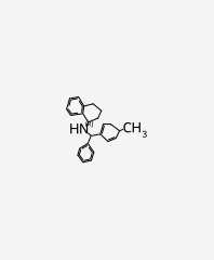 CC1C=CC(C(N[C@@H]2CCCc3ccccc32)c2ccccc2)=CC1